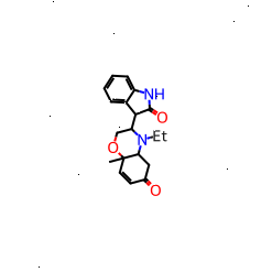 CCN1C(C2C(=O)Nc3ccccc32)COC2(C)C=CC(=O)CC12